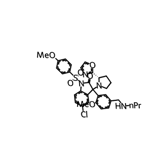 CCCNCc1ccc(OC)c(C2(N3CCC[C@H]3c3ncco3)C(=O)N(S(=O)(=O)c3ccc(OC)cc3)c3ccc(Cl)cc32)c1